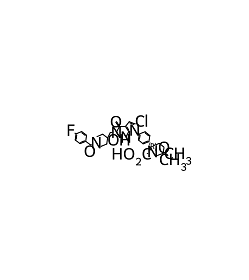 CC1(C)CN(C(=O)O)[C@H](c2ccc(-n3c(Cl)cc4c(=O)n(CC5(O)CCN(C(=O)c6ccc(F)cc6)CC5)cnc43)cc2)CO1